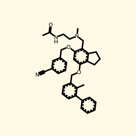 CC(=O)NCCN(C)Cc1c(OCc2cccc(C#N)c2)cc(OCc2cccc(-c3ccccc3)c2C)c2c1CCC2